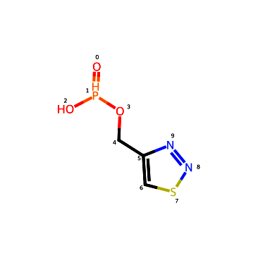 O=[PH](O)OCc1csnn1